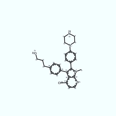 Cn1c(-c2ccc(N3CCNCC3)cc2)c(-c2ccc(CCCO)cc2)c2c(Cl)ccnc21